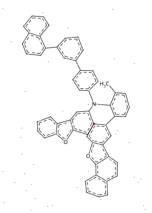 Cc1cccc(-c2ccc3oc4c5ccccc5ccc4c3c2)c1N(c1ccc(-c2cccc(-c3cccc4ccccc34)c2)cc1)c1ccc2oc3ccccc3c2c1